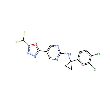 FC(F)c1nnc(-c2cnc(NC3(c4ccc(Cl)c(Cl)c4)CC3)nc2)o1